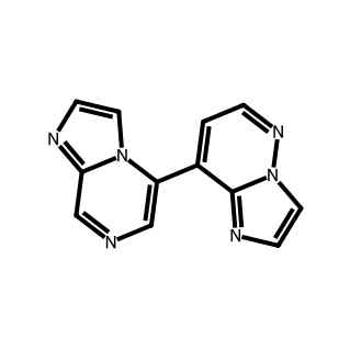 c1cn2nccc(-c3cncc4nccn34)c2n1